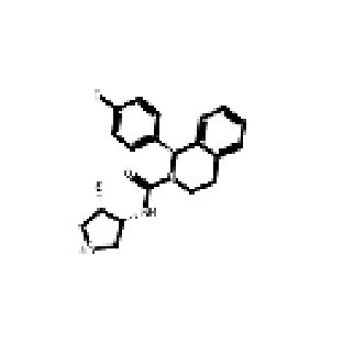 O=C(N[C@@H]1CNC[C@@H]1F)N1CCc2ccccc2[C@@H]1c1ccc(F)cc1